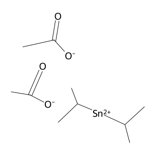 CC(=O)[O-].CC(=O)[O-].C[CH](C)[Sn+2][CH](C)C